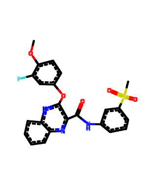 COc1ccc(Oc2nc3ccccc3nc2C(=O)Nc2cccc(S(C)(=O)=O)c2)cc1F